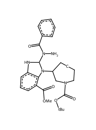 COC(=O)c1cccc2c1N(C1CCCCN(C(=O)OC(C)(C)C)C1)C(N(N)C(=O)c1ccccc1)N2